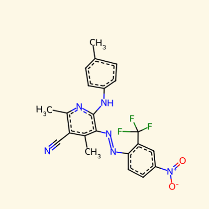 Cc1ccc(Nc2nc(C)c(C#N)c(C)c2N=Nc2ccc([N+](=O)[O-])cc2C(F)(F)F)cc1